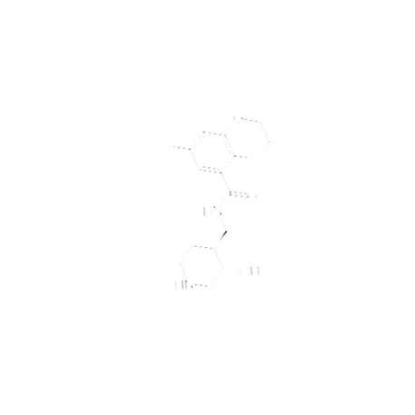 Cc1cc2c(c(C(=O)NC[C@@H]3CCNC[C@H]3O)c1)OCCO2